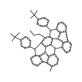 CCCc1c2c3c4c5c1B(c1ccc(C(C)(C)C)cc1)c1cccc6c7c(C)ccc(c7n-5c16)B4c1cccc4c5cccc(c5n-3c14)B2c1ccc(C(C)(C)C)cc1